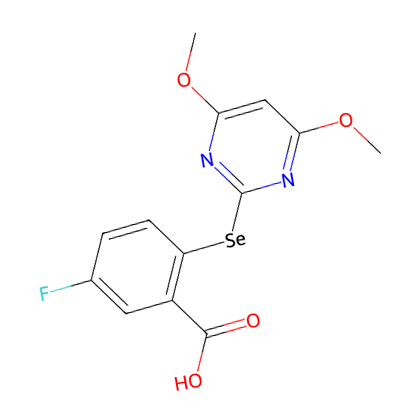 COc1cc(OC)nc([Se]c2ccc(F)cc2C(=O)O)n1